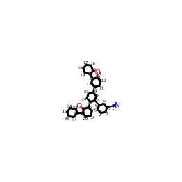 N#Cc1cccc(-c2cc(-c3ccc4oc5ccccc5c4c3)ccc2-c2cccc3c2oc2ccccc23)c1